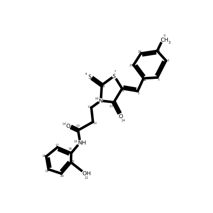 Cc1ccc(/C=C2\SC(=S)N(CCC(=O)Nc3ccccc3O)C2=O)cc1